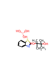 CC(C)(O)C(C)(C)O.OB(O)O.c1ccc2scnc2c1